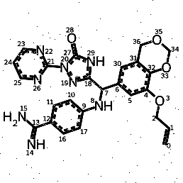 C=CCOc1cc(C(Nc2ccc(C(=N)N)cc2)c2nn(-c3ncccn3)c(=O)[nH]2)cc2c1OCOC2